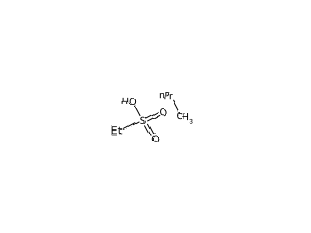 CCCC.CCS(=O)(=O)O